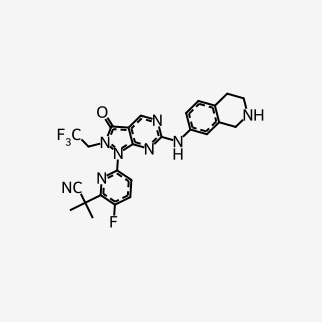 CC(C)(C#N)c1nc(-n2c3nc(Nc4ccc5c(c4)CNCC5)ncc3c(=O)n2CC(F)(F)F)ccc1F